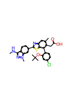 CNc1nn(C)c2cc(-c3nc4cc(C)c(CC(=O)O)c(-c5ccc(Cl)cc5OC(C)(C)C)c4s3)ccc12